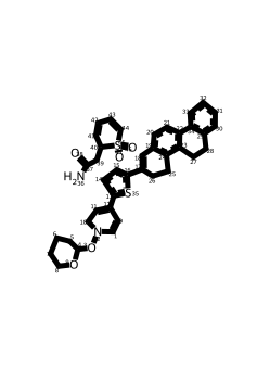 C1=CN(OC2CCCCO2)CC=C1c1ccc(C2=Cc3ccc4c(c3CC2)CCc2ccccc2-4)s1.NC(=O)CC1C=CC=CS1(=O)=O